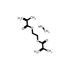 C=C(C)C(=O)OCCOC(=O)C(=C)C.CCCC